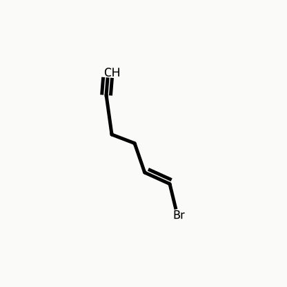 C#CCCC=CBr